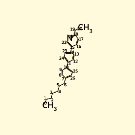 CCCCCCCc1ccc(-c2ccc(-c3ccc(CC)nc3)cc2)cc1